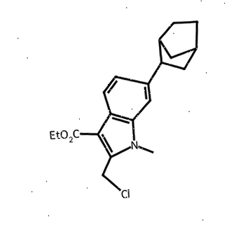 CCOC(=O)c1c(CCl)n(C)c2cc(C3CC4CCC3C4)ccc12